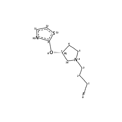 FCCCN1CC[C@@H](Oc2nccs2)C1